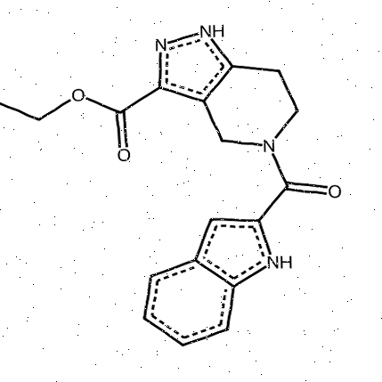 CCOC(=O)c1n[nH]c2c1CN(C(=O)c1cc3ccccc3[nH]1)CC2